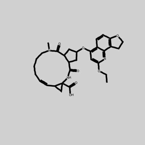 CCOc1cc(OC2CC3C(=O)NC4(C(=O)O)CC4/C=C\CCCCN(C)C(=O)C3C2)c2ccc3c(c2n1)CCO3